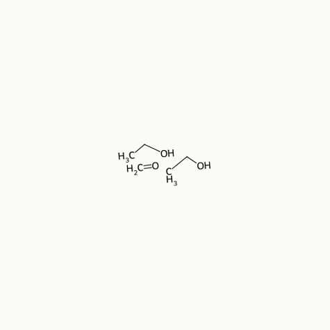 C=O.CCO.CCO